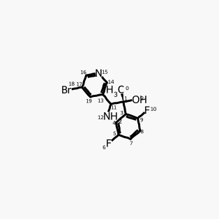 C[C@@](O)(c1cc(F)ccc1F)C(N)c1cncc(Br)c1